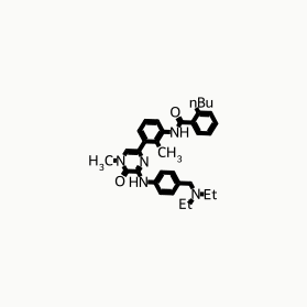 CCCCc1ccccc1C(=O)Nc1cccc(-c2cn(C)c(=O)c(Nc3ccc(CN(CC)CC)cc3)n2)c1C